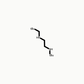 CC(C)(C)CNCCNC(C)(C)C